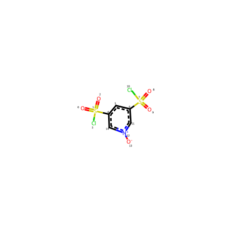 O=S(=O)(Cl)c1cc(S(=O)(=O)Cl)c[n+]([O-])c1